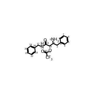 NC(Cc1ccccc1)[C@H](OC(=O)C(F)(F)F)C(=O)NCc1ccccc1